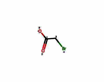 [O]C(=O)CBr